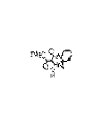 COC(=O)c1c(O)nc2ccccn2c1=O